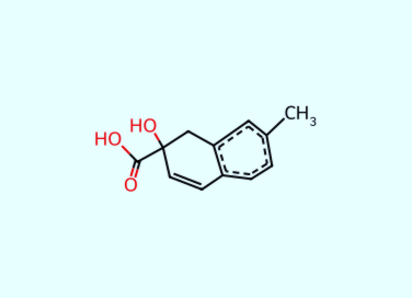 Cc1ccc2c(c1)CC(O)(C(=O)O)C=C2